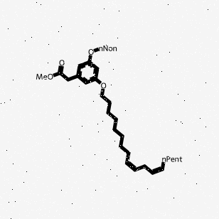 CCCCC/C=C\C/C=C\CCCCCCCCOc1cc(CC(=O)OC)cc(OCCCCCCCCC)c1